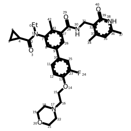 CCN(C(=O)C1CC1)c1cc(-c2ccc(OCCN3CCOCC3)c(F)c2)cc(C(=O)NCc2c(C)cc(C)[nH]c2=O)c1C